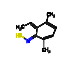 C/C=C1/C(C)=CC=C(C)/C1=N/S